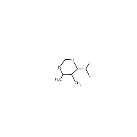 CC1OCOC(C(F)F)C1C